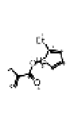 C=C(C)C(=O)O[SH]1C=CC=C1CC